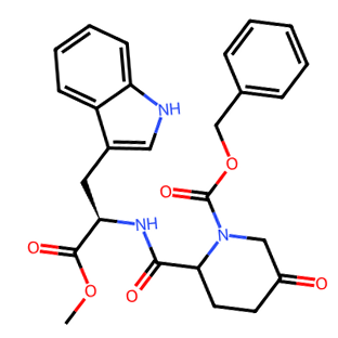 COC(=O)[C@@H](Cc1c[nH]c2ccccc12)NC(=O)C1CCC(=O)CN1C(=O)OCc1ccccc1